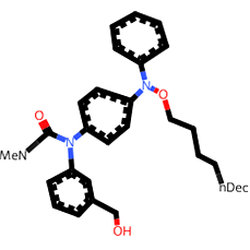 CCCCCCCCCCCCCCON(c1ccccc1)c1ccc(N(C(=O)NC)c2cccc(CO)c2)cc1